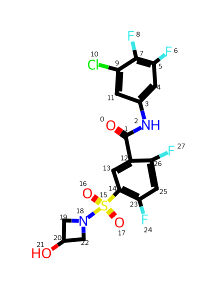 O=C(Nc1cc(F)c(F)c(Cl)c1)c1cc(S(=O)(=O)N2CC(O)C2)c(F)cc1F